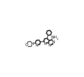 Nc1ncnc2nc(-c3ccc(N4CCOCC4)nc3)cc(-c3ccccc3)c12